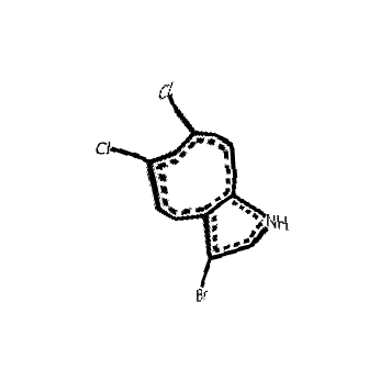 Clc1cc2[nH]cc(Br)c2cc1Cl